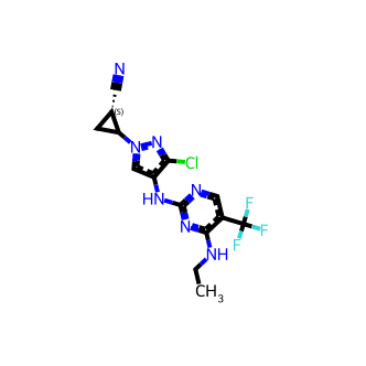 CCNc1nc(Nc2cn(C3C[C@@H]3C#N)nc2Cl)ncc1C(F)(F)F